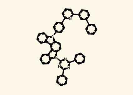 c1ccc(-c2cccc(-c3cccc(-c4ccc(-n5c6ccccc6c6c7c8ccccc8n(-c8nc(-c9ccccc9)nc(-c9ccccc9)n8)c7ccc65)cc4)n3)c2)cc1